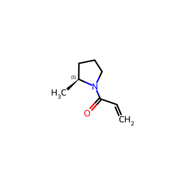 C=CC(=O)N1CCC[C@@H]1C